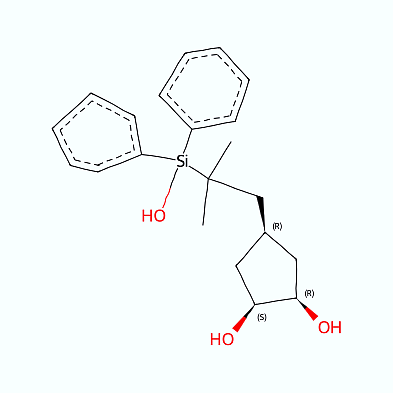 CC(C)(C[C@H]1C[C@@H](O)[C@@H](O)C1)[Si](O)(c1ccccc1)c1ccccc1